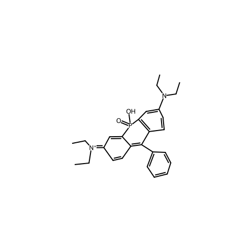 CCN(CC)c1ccc2c(c1)P(=O)(O)C1=CC(=[N+](CC)CC)C=CC1=C2c1ccccc1